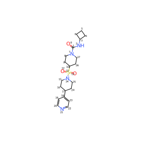 O=C(NC1CCC1)N1CCC(S(=O)(=O)N2CCC(c3ccncc3)CC2)CC1